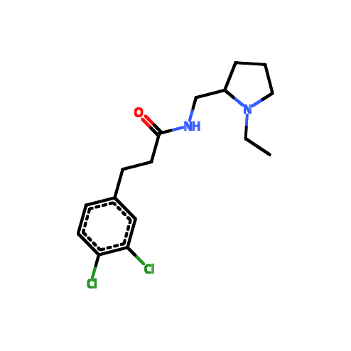 CCN1CCCC1CNC(=O)CCc1ccc(Cl)c(Cl)c1